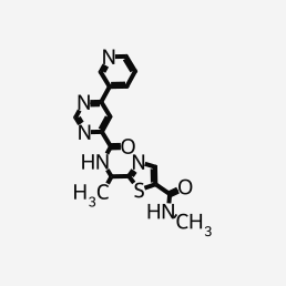 CNC(=O)c1cnc(C(C)NC(=O)c2cc(-c3cccnc3)ncn2)s1